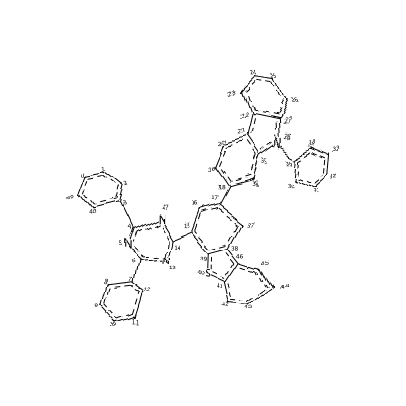 c1ccc(-c2nc(-c3ccccc3)nc(-c3cc(-c4ccc5c6ccccc6n(-c6ccccc6)c5c4)cc4c3sc3ccccc34)n2)cc1